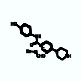 CCOC=O.O=C(Nc1ccc(O)cc1)c1ccc(N2CCNCC2)cc1